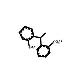 CSc1ccccc1C(C)c1ccccc1C(=O)O